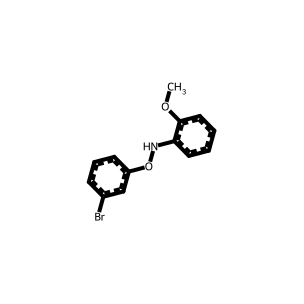 COc1ccccc1NOc1cccc(Br)c1